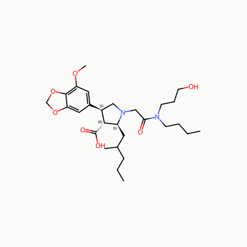 CCCCN(CCCO)C(=O)CN1C[C@H](c2cc(OC)c3c(c2)OCO3)[C@@H](C(=O)O)[C@@H]1CC(C)CCC